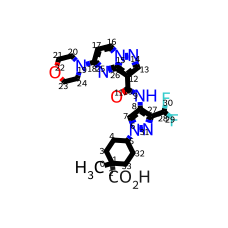 CC1(C(=O)O)CCC(n2cc(NC(=O)c3cnn4ccc(N5CCOCC5)nc34)c(C(F)F)n2)CC1